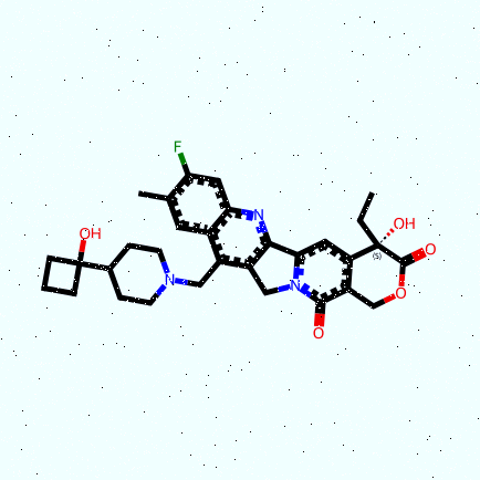 CC[C@@]1(O)C(=O)OCc2c1cc1n(c2=O)Cc2c-1nc1cc(F)c(C)cc1c2CN1CCC(C2(O)CCC2)CC1